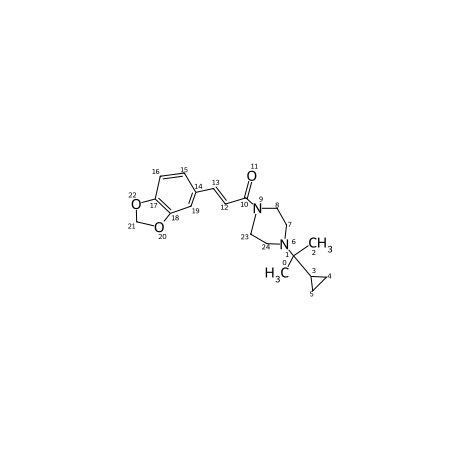 CC(C)(C1CC1)N1CCN(C(=O)C=Cc2ccc3c(c2)OCO3)CC1